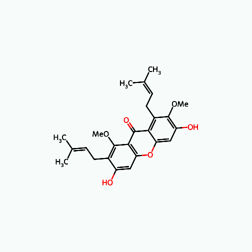 COc1c(O)cc2oc3cc(O)c(CC=C(C)C)c(OC)c3c(=O)c2c1CC=C(C)C